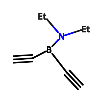 C#CB(C#C)N(CC)CC